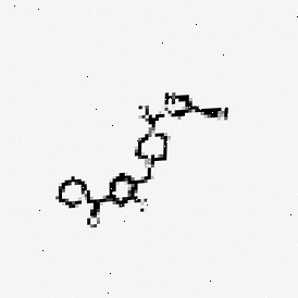 N#Cc1cnn(C(=O)N2CCN(Cc3ccc(C(=O)N4CCCCC4)cc3Cl)CC2)c1